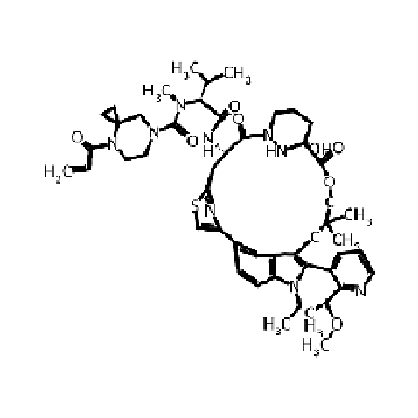 C=CC(=O)N1CCN(C(=O)N(C)[C@H](C(=O)N[C@H]2Cc3nc(cs3)-c3ccc4c(c3)c(c(-c3cccnc3[C@H](C)OC)n4CC)CC(C)(C)COC(=O)[C@@]3(O)CCCN(N3)C2=O)C(C)C)CC12CC2